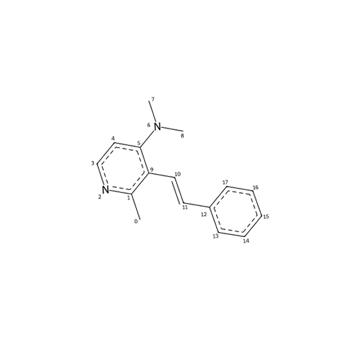 Cc1nccc(N(C)C)c1C=Cc1ccccc1